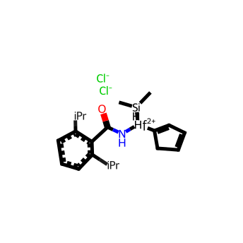 CC(C)c1cccc(C(C)C)c1C(=O)[NH][Hf+2]([C]1=CC=CC1)[SiH](C)C.[Cl-].[Cl-]